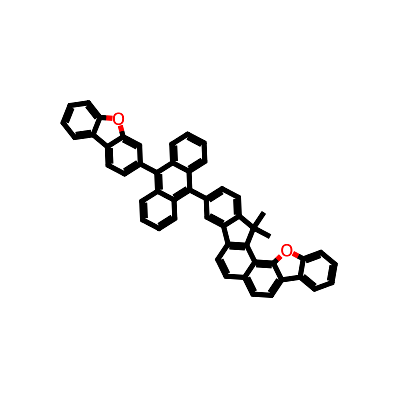 CC1(C)c2ccc(-c3c4ccccc4c(-c4ccc5c(c4)oc4ccccc45)c4ccccc34)cc2-c2ccc3ccc4c5ccccc5oc4c3c21